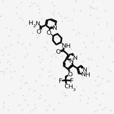 CC(F)(F)COc1ccc2c(C(=O)N[C@H]3CC[C@H](Oc4ncccc4C(N)=O)CC3)cnn2c1-c1cn[nH]c1